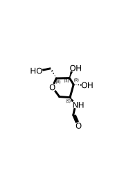 O=CN[C@H]1CO[C@H](CO)[C@@H](O)[C@@H]1O